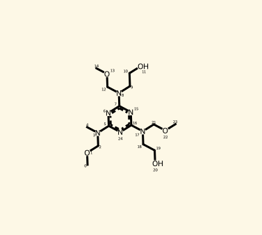 COCN(C)c1nc(N(CCO)COC)nc(N(CCO)COC)n1